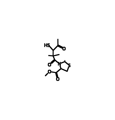 COC(=O)C1CS[CH]N1C(=O)C(C)(C)C(S)C(C)=O